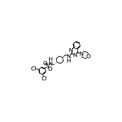 O=S(=O)(NC[C@H]1CC[C@H](CNc2nc(N3CCOCC3)c3ccccc3n2)CC1)c1cc(Cl)cc(Cl)c1